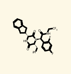 CC(C)C[C@@H]1C(=O)N[C@H](C2Cc3ccccc3C2)C(=O)N1[C@@H](C(=O)NCC(F)(F)F)c1ccc(F)cc1F